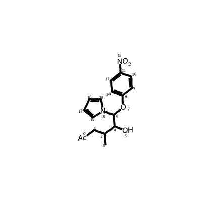 CC(=O)CC(C)C(O)C(Oc1ccc([N+](=O)[O-])cc1)n1cccc1